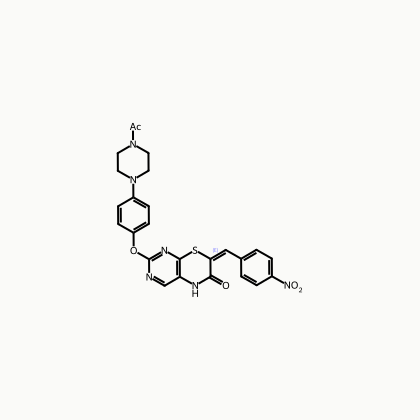 CC(=O)N1CCN(c2ccc(Oc3ncc4c(n3)S/C(=C/c3ccc([N+](=O)[O-])cc3)C(=O)N4)cc2)CC1